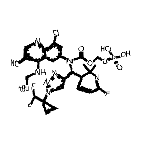 CC(C)(C)CNc1c(C#N)cnc2c(Cl)cc(N(C(=O)OCOP(=O)(O)O)[C@H](c3cn(C4(C(F)F)CC4)nn3)C3C=CC(F)=NC3(C)C)cc12